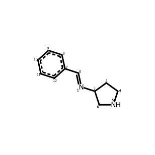 C(=NC1CCNC1)c1ccccc1